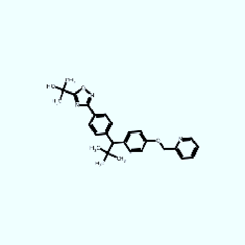 CC(C)(O)c1nc(-c2ccc(C(c3ccc(OCc4ccccn4)cc3)C(C)(C)C)cc2)no1